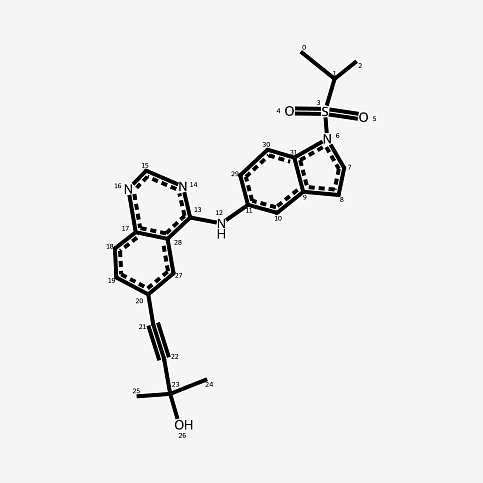 CC(C)S(=O)(=O)n1ccc2cc(Nc3ncnc4ccc(C#CC(C)(C)O)cc34)ccc21